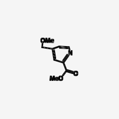 COCc1ccnc(C(=O)OC)c1